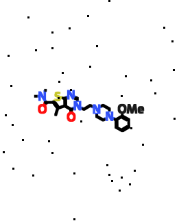 COc1ccccc1N1CCN(CCn2cnc3sc(C(=O)N(C)C)c(C)c3c2=O)CC1